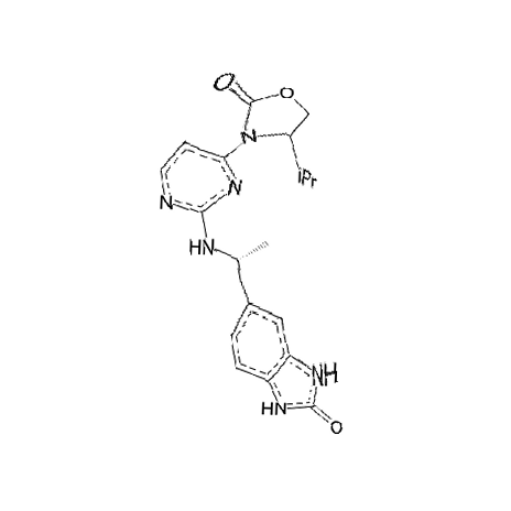 CC(C)C1COC(=O)N1c1ccnc(N[C@H](C)c2ccc3[nH]c(=O)[nH]c3c2)n1